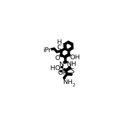 CC(C)CC[C@@]1(C)C(=O)C(C2=NS(O)(O)c3c(CN)csc3N2)=C(O)c2ccccc21